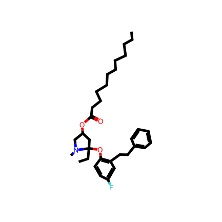 CCCCCCCCCCCC(=O)OC1CN(C)C(CC)(Oc2ccc(F)cc2CCc2ccccc2)C1